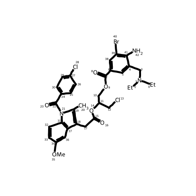 CCN(CC)Cc1cc(C(=O)OCC(CCl)OC(=O)Cc2c(C)n(C(=O)c3ccc(Cl)cc3)c3ccc(OC)cc23)cc(Br)c1N